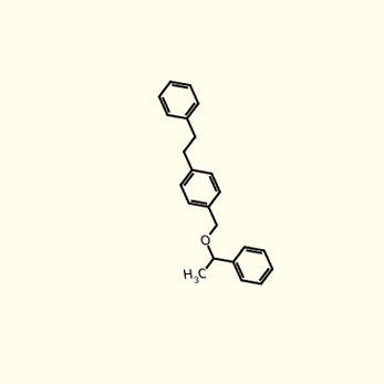 CC(OCc1ccc(CCc2ccccc2)cc1)c1ccccc1